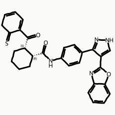 O=C(C1=CC=CCC1=S)[C@H]1CCCC[C@H]1C(=O)Nc1ccc(-c2n[nH]cc2-c2nc3ccccc3o2)cc1